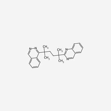 CC(C)(CCC(C)(C)c1nncc2ccccc12)c1ncc2ccccc2n1